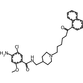 COc1cc(N)c(Cl)cc1C(=O)NCC1CCN(CCCCCC(=O)c2cccc3ccccc23)CC1